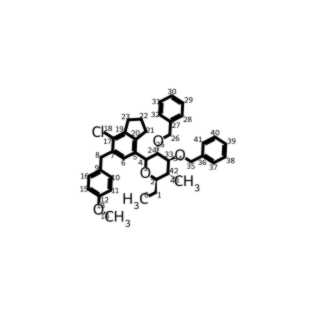 CC[C@H]1OC(c2cc(Cc3ccc(OC)cc3)c(Cl)c3c2CCC3)[C@H](OCc2ccccc2)[C@@H](OCc2ccccc2)[C@@H]1C